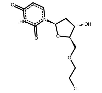 O=c1ccn([C@H]2C[C@H](O)[C@@H](COCCCl)O2)c(=O)[nH]1